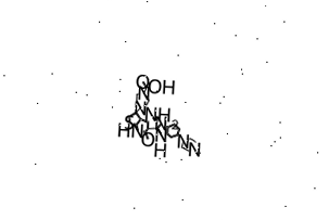 CN1CCN(c2ccc3nc(-c4c(N)c5c(N6CCN(C(=O)O)CC6)csc5[nH]c4=O)[nH]c3c2)CC1